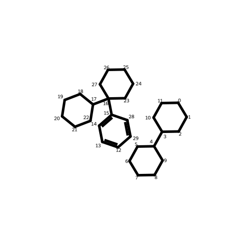 C1CCC(C2CCCCC2)CC1.c1ccc(C2(C3CCCCC3)CCCCC2)cc1